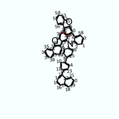 c1ccc(N(c2ccc(-c3ccc(-c4cccc5ccccc45)cc3)cc2)c2cccc3oc4c5ccccc5ccc4c23)c(-c2ccc3c(c2)oc2ccccc23)c1